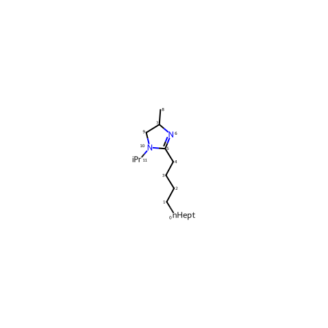 CCCCCCCCCCCC1=NC(C)CN1C(C)C